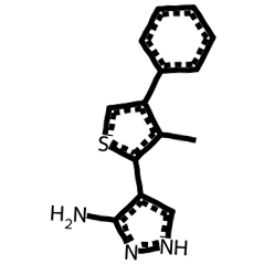 Cc1c(-c2ccccc2)csc1-c1c[nH]nc1N